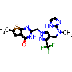 Cc1cc2c(=O)[nH]c(Cn3cc(CN(C)c4ncc[nH]4)c(C(F)(F)F)n3)nc2s1